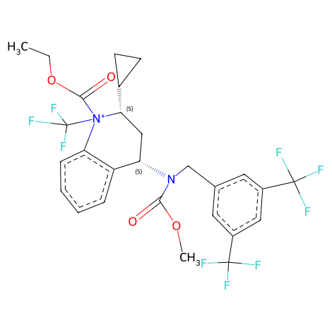 CCOC(=O)[N+]1(C(F)(F)F)c2ccccc2[C@@H](N(Cc2cc(C(F)(F)F)cc(C(F)(F)F)c2)C(=O)OC)C[C@H]1C1CC1